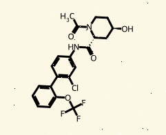 CC(=O)N1CC[C@@H](O)C[C@@H]1C(=O)Nc1ccc(-c2ccccc2OC(F)(F)F)c(Cl)c1